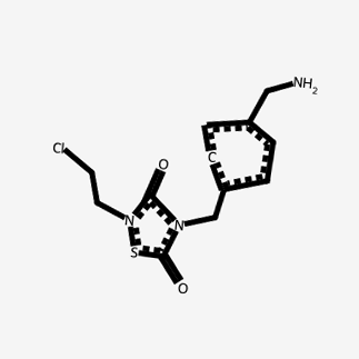 NCc1ccc(Cn2c(=O)sn(CCCl)c2=O)cc1